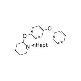 CCCCCCCN1CCCCC1Oc1ccc(Oc2ccccc2)cc1